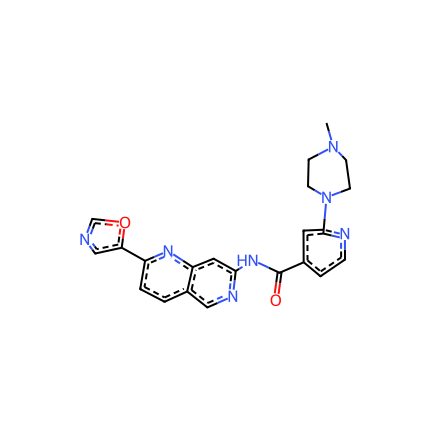 CN1CCN(c2cc(C(=O)Nc3cc4nc(-c5cnco5)ccc4cn3)ccn2)CC1